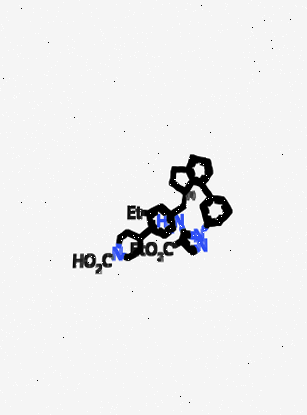 CCOC(=O)c1cnn(-c2cccc(-c3cccc4c3[C@@H](Cc3ccc(C5CCN(C(=O)O)CC5)c(CC)c3)CC4)c2)c1N